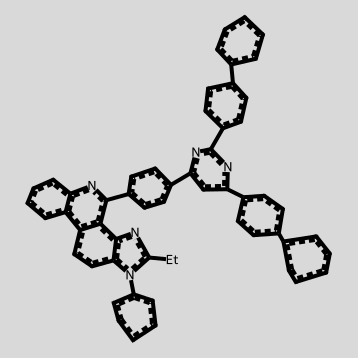 CCc1nc2c3c(-c4ccc(-c5cc(-c6ccc(-c7ccccc7)cc6)nc(-c6ccc(-c7ccccc7)cc6)n5)cc4)nc4ccccc4c3ccc2n1-c1ccccc1